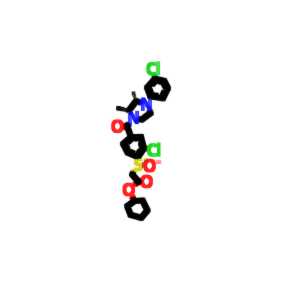 C[C@H]1[C@H](C)N(c2cccc(Cl)c2)CCN1C(=O)c1ccc([S+]([O-])CC(=O)OC2CCCCC2)c(Cl)c1